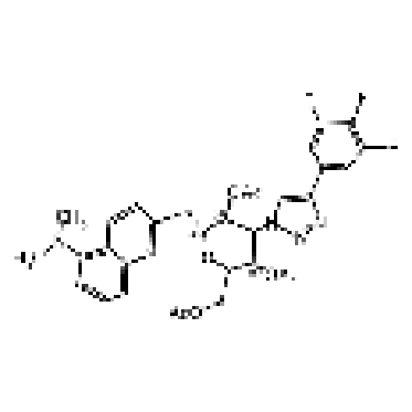 CC(=O)OCC1O[C@H](Sc2ccc3c(N(C)C)cccc3c2)[C@@H](OC(C)=O)C(n2cc(-c3cc(F)c(F)c(F)c3)nn2)[C@H]1OC(C)=O